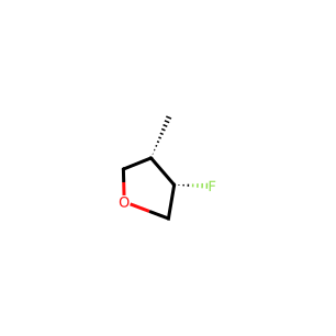 C[C@H]1COC[C@H]1F